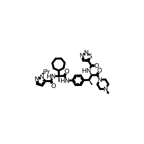 CC(C)n1nccc1C(=O)N[C@@](C)(C(=O)Nc1ccc([C@H](C)[C@@H](NC(=O)c2cnns2)C(=O)N2CCN(C)CC2)cc1)C1CCCCCC1